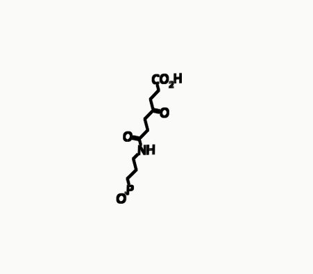 O=PCCCNC(=O)CCC(=O)CCC(=O)O